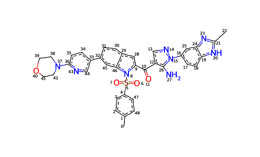 Cc1ccc(S(=O)(=O)n2c(C(=O)c3cnn(-c4ccc5[nH]c(C)nc5c4)c3N)cc3ccc(-c4ccc(N5CCOCC5)nc4)cc32)cc1